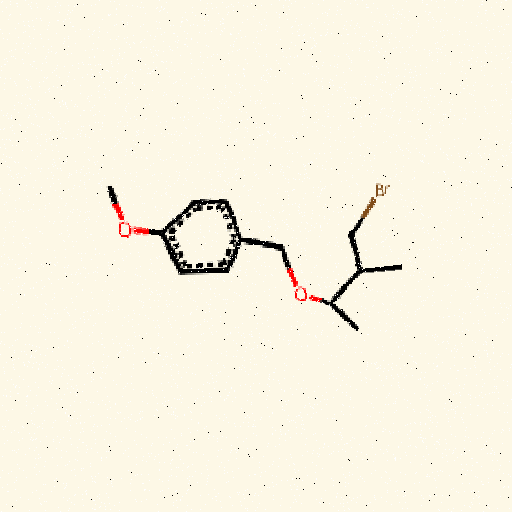 COc1ccc(COC(C)C(C)CBr)cc1